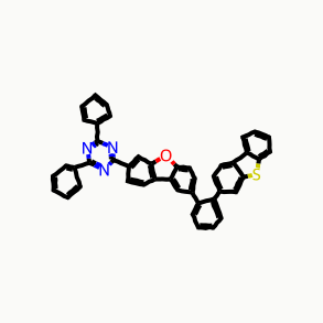 c1ccc(-c2nc(-c3ccccc3)nc(-c3ccc4c(c3)oc3ccc(-c5ccccc5-c5ccc6c(c5)sc5ccccc56)cc34)n2)cc1